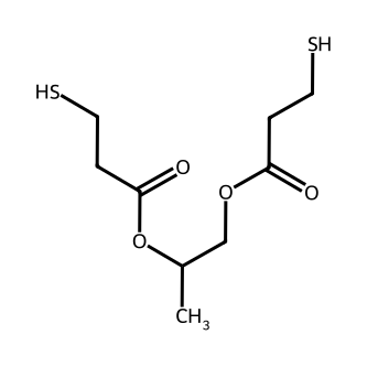 CC(COC(=O)CCS)OC(=O)CCS